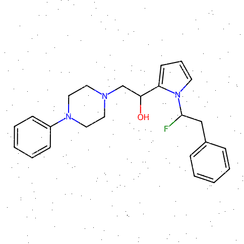 OC(CN1CCN(c2ccccc2)CC1)c1cccn1C(F)Cc1ccccc1